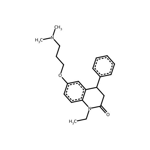 CCN1C(=O)CC(c2ccccc2)c2cc(OCCCN(C)C)ccc21